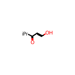 CC(C)C(=O)/C=C/O